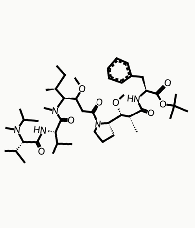 CC[C@H](C)[C@@H](C(CC(=O)N1CCC[C@H]1[C@H](OC)[C@@H](C)C(=O)N[C@@H](Cc1ccccc1)C(=O)OC(C)(C)C)OC)N(C)C(=O)[C@@H](NC(=O)[C@H](C(C)C)N(C)C(C)C)C(C)C